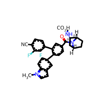 Cn1ccc2cc(-c3ccc(C(=O)N4[C@@H]5CC[C@H]4[C@@H](NC(=O)O)C5)cc3-c3ccc(C#N)c(F)c3)c(F)cc21